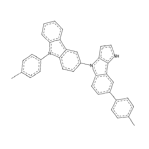 Cc1ccc(-c2ccc3c(c2)c2[nH]ccc2n3-c2ccc3c(c2)c2ccccc2n3-c2ccc(C)cc2)cc1